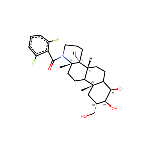 C[C@]12C[C@@H](CO)[C@H](O)[C@H](O)C1CC[C@@H]1C2CC[C@@]2(C)[C@H]1CCCN2C(=O)c1c(F)cccc1F